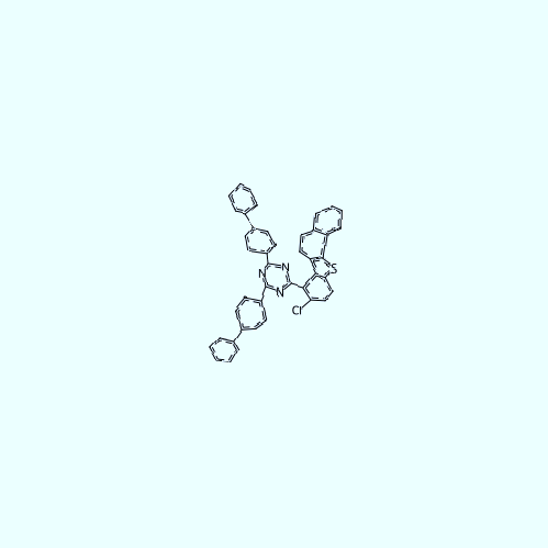 Clc1ccc2sc3c4ccccc4ccc3c2c1-c1nc(-c2ccc(-c3ccccc3)cc2)nc(-c2ccc(-c3ccccc3)cc2)n1